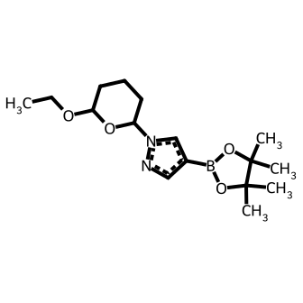 CCOC1CCCC(n2cc(B3OC(C)(C)C(C)(C)O3)cn2)O1